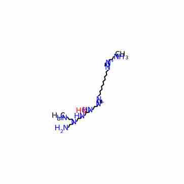 CNCCCN(CCCN)CCCNCC(O)CNCCC[n+]1ccn(CCCCCCCCCCCCn2cc[n+](CCCNC)c2)c1